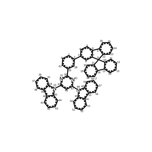 c1cc(-c2ccc3c(c2)C2(c4ccccc4-c4ccccc42)c2ccccc2-3)cc(-c2nc(-n3c4ccccc4c4ccccc43)cc(-n3c4ccccc4c4ccccc43)n2)c1